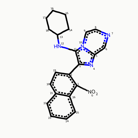 O=[N+]([O-])c1c(-c2nc3cnccn3c2NC2CCCCC2)ccc2ccccc12